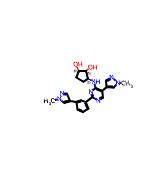 Cn1cc(-c2cccc(-c3ncc(-c4cnn(C)c4)c(N[C@H]4CC[C@@H](O)[C@H]4O)n3)c2)cn1